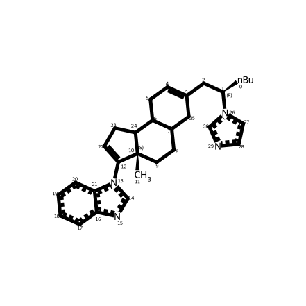 CCCC[C@H](CC1=CCC2C(CC[C@]3(C)C(n4cnc5ccccc54)=CCC23)C1)n1ccnc1